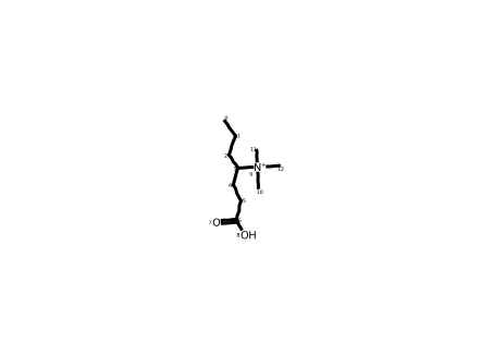 CCCC(CCC(=O)O)[N+](C)(C)C